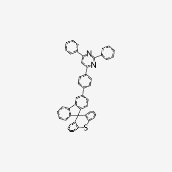 c1ccc(-c2cc(-c3ccc(-c4ccc5c(c4)-c4ccccc4C54c5ccccc5Sc5ccccc54)cc3)nc(-c3ccccc3)n2)cc1